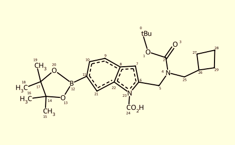 CC(C)(C)OC(=O)N(Cc1cc2ccc(B3OC(C)(C)C(C)(C)O3)cc2n1C(=O)O)CC1CCC1